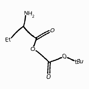 CCC(N)C(=O)OC(=O)OC(C)(C)C